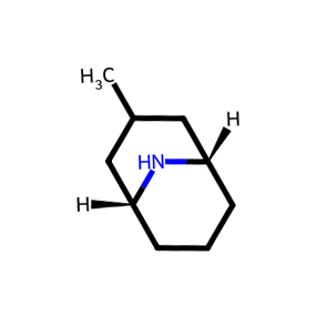 CC1C[C@H]2CCC[C@@H](C1)N2